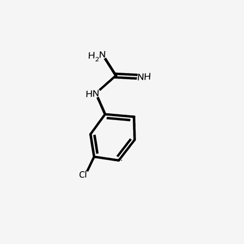 N=C(N)Nc1cc[c]c(Cl)c1